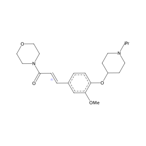 COc1cc(/C=C/C(=O)N2CCOCC2)ccc1OC1CCN(C(C)C)CC1